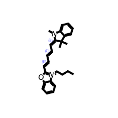 CCCC[n+]1c(/C=C/C=C/C=C2/N(C)c3ccccc3C2(C)C)oc2ccccc21